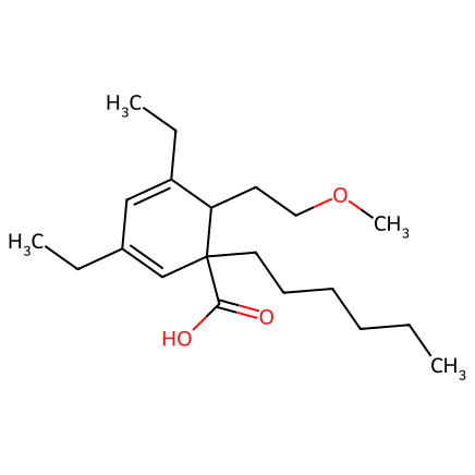 CCCCCCC1(C(=O)O)C=C(CC)C=C(CC)C1CCOC